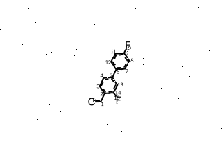 O=Cc1ccc(-c2ccc(F)cc2)cc1F